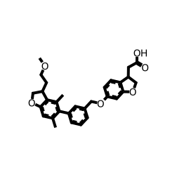 COCCC1COc2cc(C)c(-c3cccc(COc4ccc5c(c4)OCC5CC(=O)O)c3)c(C)c21